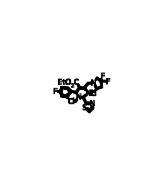 CCOC(=O)C1=C(CN2CC(F)(F)CC2C#N)NC(c2nccs2)N(C)C1c1ccc(F)cc1Cl